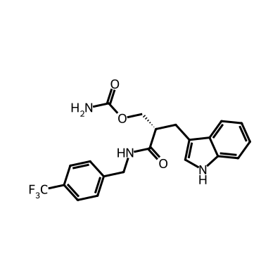 NC(=O)OC[C@H](Cc1c[nH]c2ccccc12)C(=O)NCc1ccc(C(F)(F)F)cc1